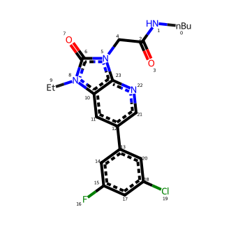 CCCCNC(=O)Cn1c(=O)n(CC)c2cc(-c3cc(F)cc(Cl)c3)cnc21